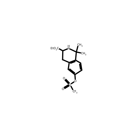 CCOC(=O)C1Cc2cc(OS(=O)(=O)C(F)(F)F)ccc2C(C)(C)N1